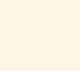 COc1ccc(-c2cnc(NC(=O)Cc3ccc(I)cc3)c(C=C(C)C)n2)cc1